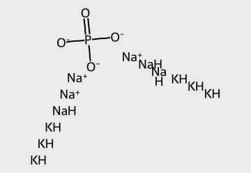 O=P([O-])([O-])[O-].[KH].[KH].[KH].[KH].[KH].[KH].[Na+].[Na+].[Na+].[NaH].[NaH].[NaH]